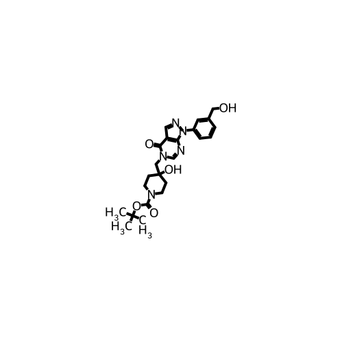 CC(C)(C)OC(=O)N1CCC(O)(Cn2cnc3c(cnn3-c3cccc(CO)c3)c2=O)CC1